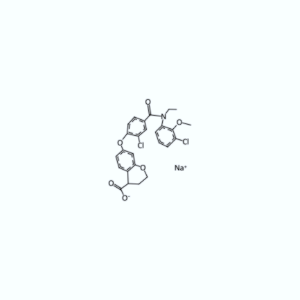 CCN(C(=O)c1ccc(Oc2ccc3c(c2)OCCC3C(=O)[O-])c(Cl)c1)c1cccc(Cl)c1OC.[Na+]